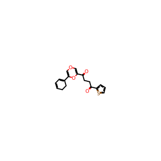 O=C(CCC(=O)c1cccs1)C1=COC=C(C2=CC=CCC2)O1